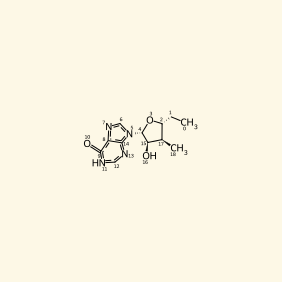 CC[C@H]1O[C@@H](n2cnc3c(=O)[nH]cnc32)[C@H](O)[C@@H]1C